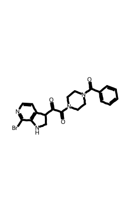 O=C(C(=O)N1CCN(C(=O)c2ccccc2)CC1)C1CNc2c1ccnc2Br